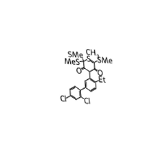 CCc1ccc(-c2ccc(Cl)cc2Cl)cc1C1C(=O)C(SC)=S(C)C(SC)(SC)C1=O